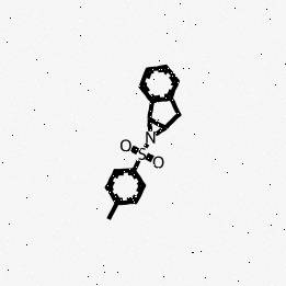 Cc1ccc(S(=O)(=O)N2C3Cc4ccccc4C32)cc1